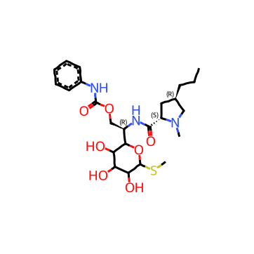 CCC[C@@H]1C[C@@H](C(=O)N[C@H](COC(=O)Nc2ccccc2)C2OC(SC)C(O)C(O)C2O)N(C)C1